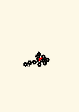 CC1(C)c2ccccc2-c2ccc(N(c3ccc(-c4ccc5c(c4)oc4ccccc45)cc3)c3ccccc3-c3cccc4c3-c3ccccc3C43c4ccccc4-c4ccccc43)cc21